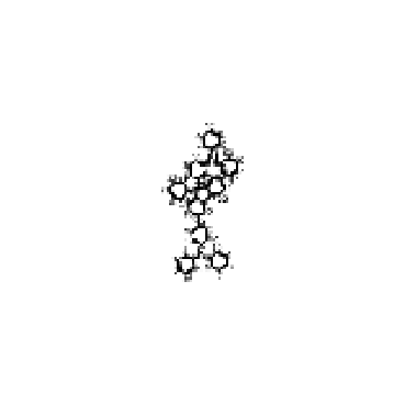 c1ccc(N(c2ccccc2)c2ccc(-c3ccc4c(c3)-c3ccccc3C43c4ccccc4-c4ccc(N(c5ccccc5)c5ccccc5)cc43)cc2)cc1